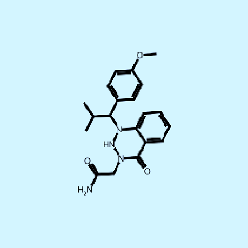 COc1ccc(C(C(C)C)N2NN(CC(N)=O)C(=O)c3ccccc32)cc1